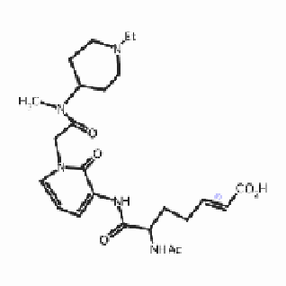 CCN1CCC(N(C)C(=O)Cn2cccc(NC(=O)C(CC/C=C/C(=O)O)NC(C)=O)c2=O)CC1